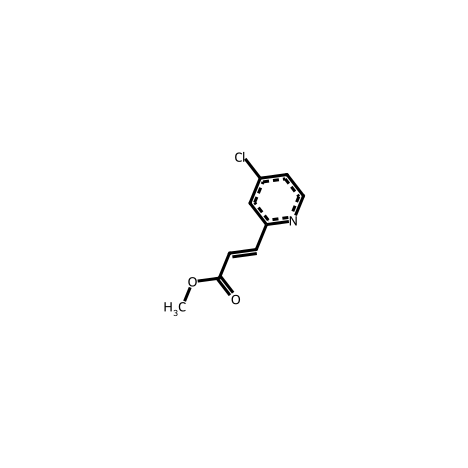 COC(=O)C=Cc1cc(Cl)ccn1